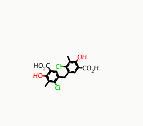 Cc1c(O)c(C(=O)O)cc(Cc2cc(C(=O)O)c(O)c(C)c2Cl)c1Cl